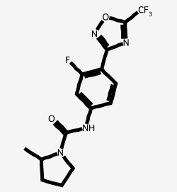 CC1CCCN1C(=O)Nc1ccc(-c2noc(C(F)(F)F)n2)c(F)c1